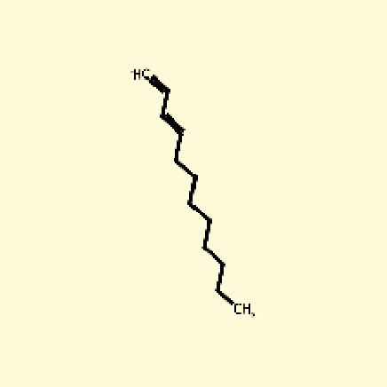 [CH]=CC=CCCCCCCCC